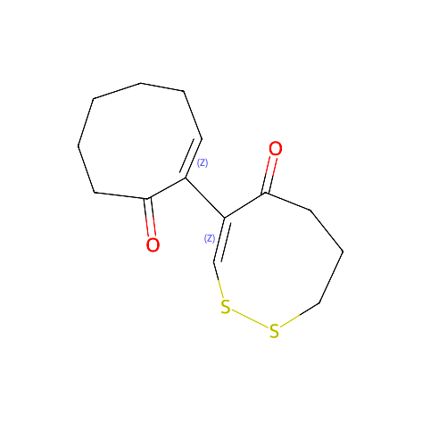 O=C1CCCCC/C=C1/C1=C/SSCCCC1=O